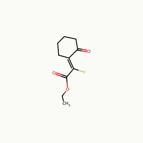 CCOC(=O)C(F)=C1CCCCC1=O